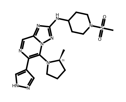 C[C@H]1CCCN1c1c(-c2cn[nH]c2)ncc2nc(NC3CCN(S(C)(=O)=O)CC3)nn12